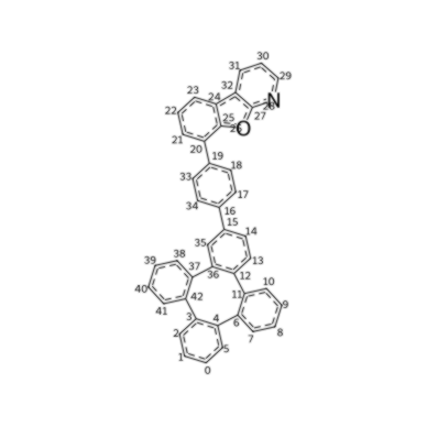 c1ccc2c(c1)-c1ccccc1-c1ccc(-c3ccc(-c4cccc5c4oc4ncccc45)cc3)cc1-c1ccccc1-2